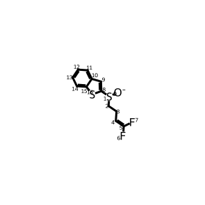 [O-][S+](CCC=C(F)F)c1cc2ccccc2s1